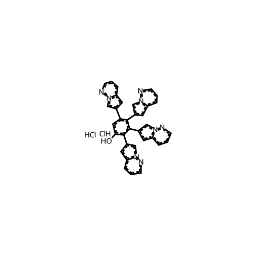 Cl.Cl.Oc1cc(-c2cc3cccnn3c2)c(-c2cc3cccnn3c2)c(-c2cc3cccnn3c2)c1-c1cc2cccnn2c1